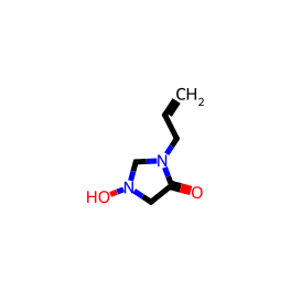 C=CCN1CN(O)CC1=O